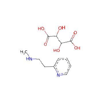 CNCCc1ccccn1.O=C(O)C(O)C(O)C(=O)O